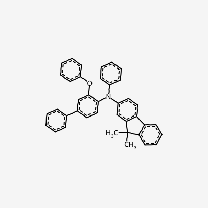 CC1(C)c2ccccc2-c2ccc(N(c3ccccc3)c3ccc(-c4ccccc4)cc3Oc3ccccc3)cc21